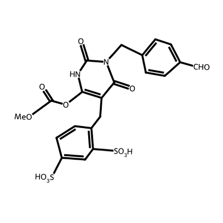 COC(=O)Oc1[nH]c(=O)n(Cc2ccc(C=O)cc2)c(=O)c1Cc1ccc(S(=O)(=O)O)cc1S(=O)(=O)O